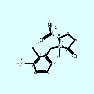 Cc1c(C[N+]2(C)C(=O)CC[C@H]2C(N)=O)cccc1C(F)(F)F